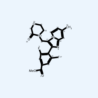 COC(=O)c1cc(F)c(-c2nc3cc(C)ccn3c2CN2CCOCC2=O)c(F)c1